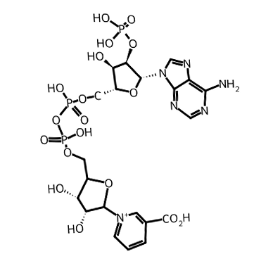 Nc1ncnc2c1ncn2[C@@H]1O[C@H](COP(=O)(O)OP(=O)(O)OCC2OC([n+]3cccc(C(=O)O)c3)[C@H](O)[C@@H]2O)[C@@H](O)[C@H]1OP(=O)(O)O